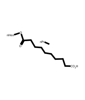 CCCC.CCCCCCOC(=O)CCCCCCCCC(=O)O